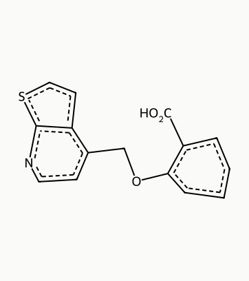 O=C(O)c1ccccc1OCc1ccnc2sccc12